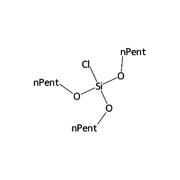 CCCCCO[Si](Cl)(OCCCCC)OCCCCC